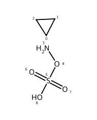 C1CC1.NOS(=O)(=O)O